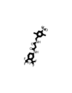 Cc1cc([N+](=O)[O-])c(C)cc1CNC(=O)CC(=O)Nc1ccc(C(F)(F)F)c(C(F)(F)F)c1